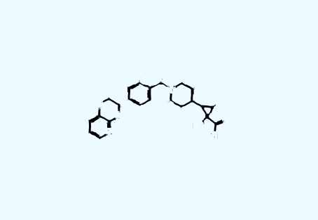 NC(=O)C1(O)CC1C1CCN(Cc2ccc([C@H]3COc4cccnc4O3)cc2)CC1